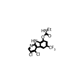 CCNC(=O)Oc1cc(C(F)(F)F)cc2c1[nH]c1ncc(Cl)c(Cl)c12